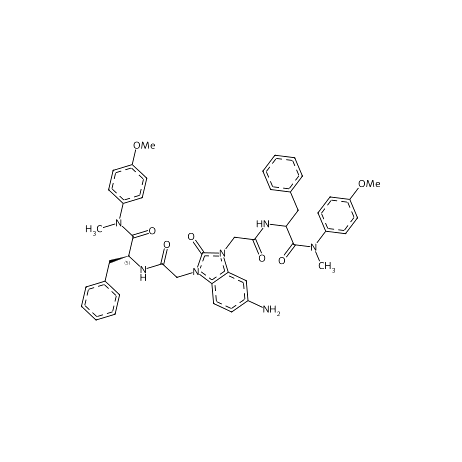 COc1ccc(N(C)C(=O)C(Cc2ccccc2)NC(=O)Cn2c(=O)n(CC(=O)N[C@@H](Cc3ccccc3)C(=O)N(C)c3ccc(OC)cc3)c3ccc(N)cc32)cc1